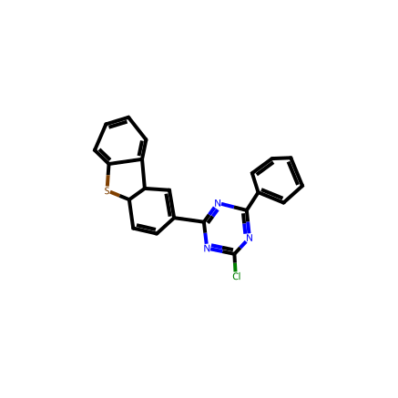 Clc1nc(C2=CC3c4ccccc4SC3C=C2)nc(-c2ccccc2)n1